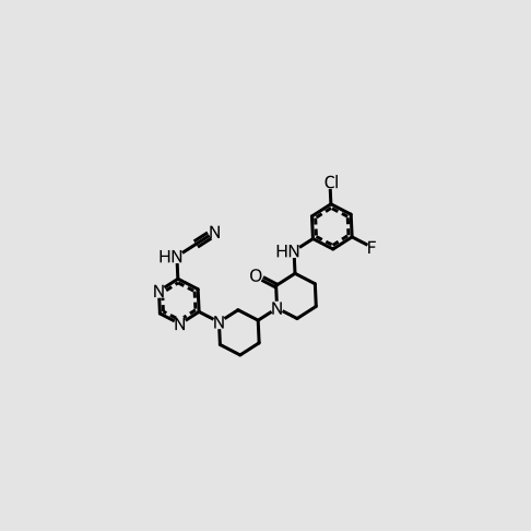 N#CNc1cc(N2CCCC(N3CCCC(Nc4cc(F)cc(Cl)c4)C3=O)C2)ncn1